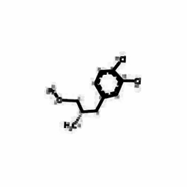 CC(C)OC[C@@H](C)Cc1ccc(Cl)c(Cl)c1